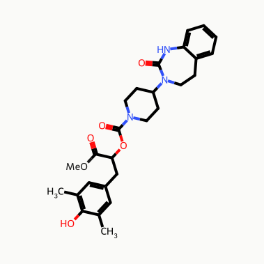 COC(=O)C(Cc1cc(C)c(O)c(C)c1)OC(=O)N1CCC(N2CCc3ccccc3NC2=O)CC1